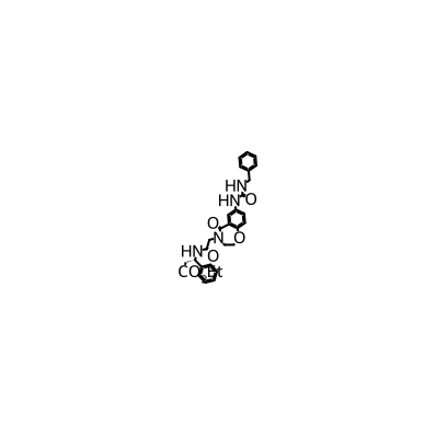 CCOC(=O)C[C@H](NC(=O)CN1CCOc2ccc(NC(=O)NCc3ccccc3)cc2C1=O)c1ccccc1